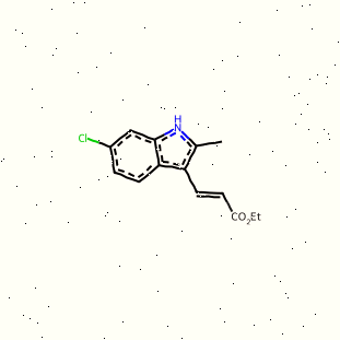 CCOC(=O)/C=C/c1c(C)[nH]c2cc(Cl)ccc12